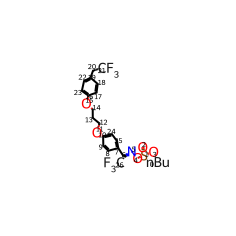 CCCCS(=O)(=O)ON=C(c1ccc(OCCCOc2ccc(CC(F)(F)F)cc2)cc1)C(F)(F)F